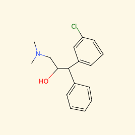 CN(C)CC(O)C(c1ccccc1)c1cccc(Cl)c1